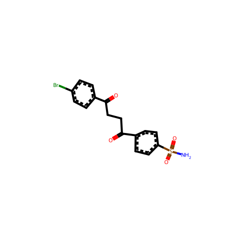 NS(=O)(=O)c1ccc(C(=O)CCC(=O)c2ccc(Br)cc2)cc1